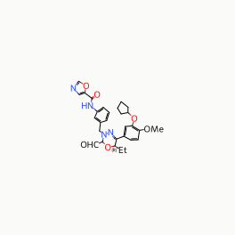 CC[C@H]1OC(C=O)N(Cc2cccc(NC(=O)c3cnco3)c2)N=C1c1ccc(OC)c(OC2CCCC2)c1